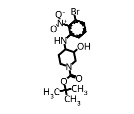 CC(C)(C)OC(=O)N1CCC(Nc2cccc(Br)c2[N+](=O)[O-])C(O)C1